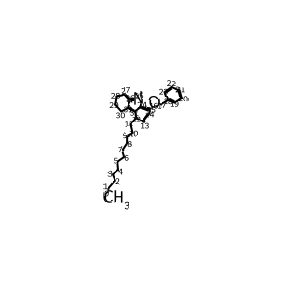 CCCCCCCCCCCCC1C=CC(OCc2ccccc2)=C2N=C3CCCCC3=C21